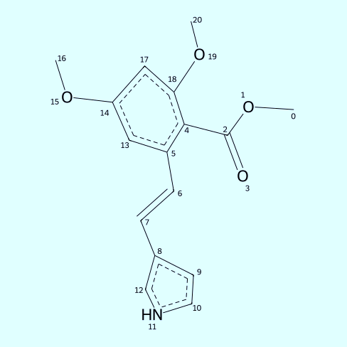 COC(=O)c1c(C=Cc2cc[nH]c2)cc(OC)cc1OC